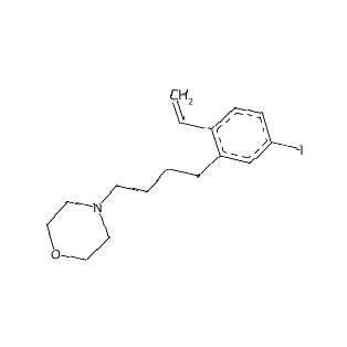 C=Cc1ccc(I)cc1CCCCN1CCOCC1